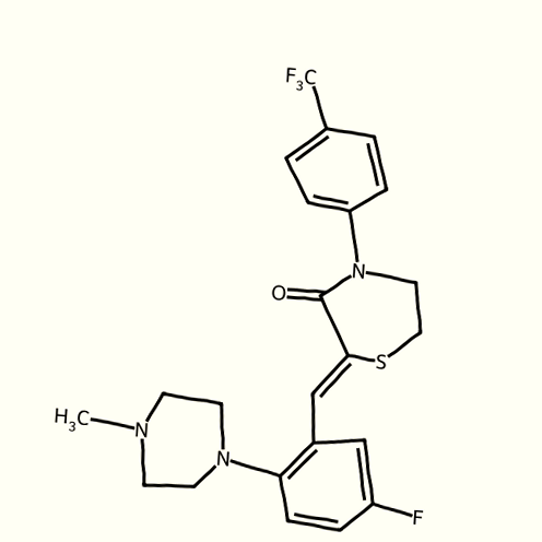 CN1CCN(c2ccc(F)cc2C=C2SCCN(c3ccc(C(F)(F)F)cc3)C2=O)CC1